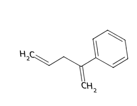 C=CCC(=C)c1ccccc1